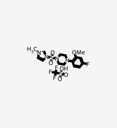 COc1cc(F)ccc1N1CCN(S(=O)(=O)n2cc[n+](C)c2)CC1.O=S(=O)(O)C(F)(F)F